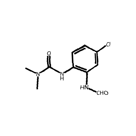 CN(C)C(=O)Nc1ccc(Cl)cc1NC=O